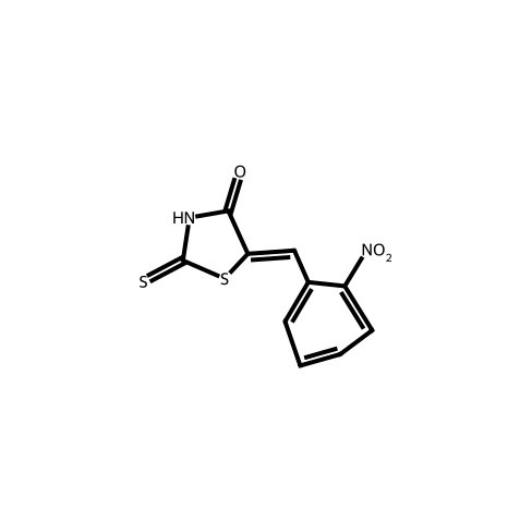 O=C1NC(=S)S/C1=C\c1ccccc1[N+](=O)[O-]